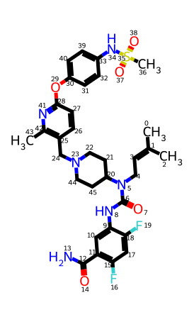 CC(C)=CCN(C(=O)Nc1cc(C(N)=O)c(F)cc1F)C1CCN(Cc2ccc(Oc3ccc(NS(C)(=O)=O)cc3)nc2C)CC1